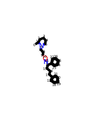 CC1CCCCN1CCCON=C(CCCc1ccccc1)c1ccccc1